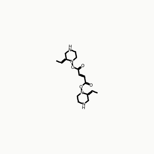 CC=C1CNCCN1OC(=O)/C=C/C(=O)ON1CCNCC1=CC